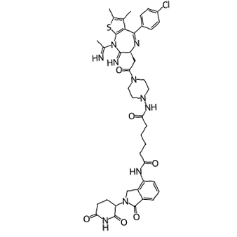 CC(=N)N1C(=N)[C@H](CC(=O)N2CCN(NC(=O)CCCCC(=O)Nc3cccc4c3CN(C3CCC(=O)NC3=O)C4=O)CC2)N=C(c2ccc(Cl)cc2)c2c1sc(C)c2C